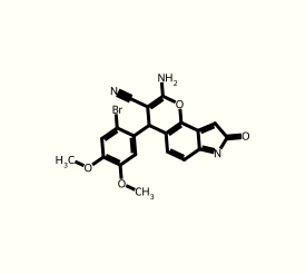 COc1cc(Br)c(C2C(C#N)=C(N)Oc3c2ccc2c3=CC(=O)N=2)cc1OC